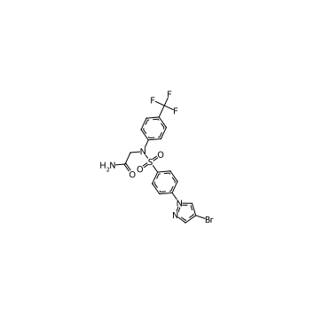 NC(=O)CN(c1ccc(C(F)(F)F)cc1)S(=O)(=O)c1ccc(-n2cc(Br)cn2)cc1